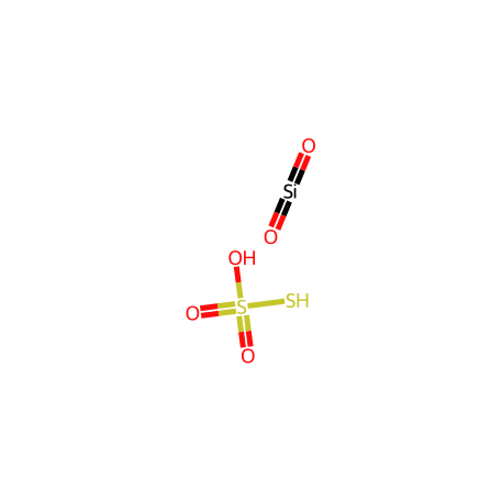 O=S(=O)(O)S.O=[Si]=O